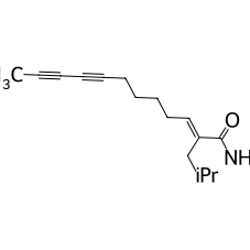 CC#CC#CCCCC/C=C(\CC(C)C)C(N)=O